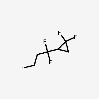 [CH2]CCC(F)(F)C1CC1(F)F